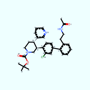 CC(=O)NCCc1ccccc1-c1ccc([C@H]2CN(C(=O)OC(C)(C)C)CC[C@@H]2c2cccnc2)c(Cl)c1